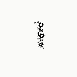 [2H]C([2H])(c1ccnc(N)c1)n1ccc2c(NC(=O)Nc3ccc(C#N)cc3)cccc21